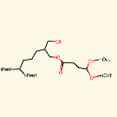 C[CH]CCCC(CCCCC)CCCC(CO)COC(=O)CCC(OCCCCCCCC)OCCCCCCCC